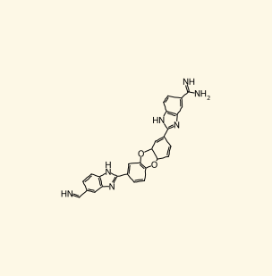 N=Cc1ccc2[nH]c(-c3ccc4c(c3)OC3C=C(c5nc6cc(C(=N)N)ccc6[nH]5)C=CC3O4)nc2c1